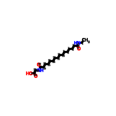 CCNC(=O)CCCCCCCCCCCCCCC(=O)NCC(=O)O